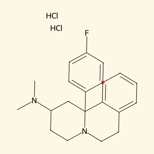 CN(C)C1CCN2CCc3ccccc3C2(c2ccc(F)cc2)C1.Cl.Cl